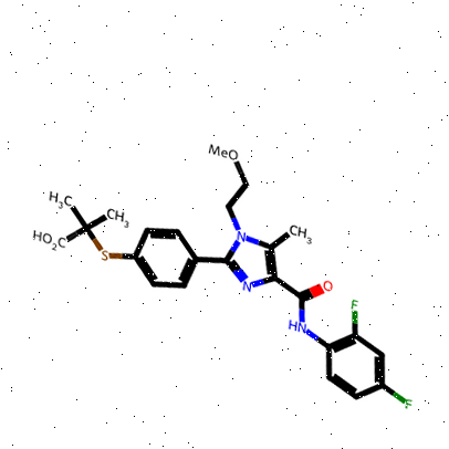 COCCn1c(-c2ccc(SC(C)(C)C(=O)O)cc2)nc(C(=O)Nc2ccc(F)cc2F)c1C